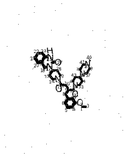 CCOc1cccc(CC(CC(=O)N2CCC(N3Cc4ccccc4NC3=O)CC2)C(=O)N2CCC(N3CCN(C)CC3)CC2)c1